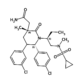 CC[C@@H](CN(C)S(=O)(=O)C1CC1)N1C(=O)[C@@](C)(CC(N)=O)CC(c2cccc(Cl)c2)[C@H]1c1ccc(Cl)cc1